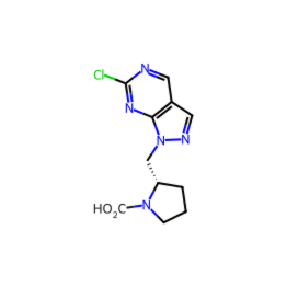 O=C(O)N1CCC[C@H]1Cn1ncc2cnc(Cl)nc21